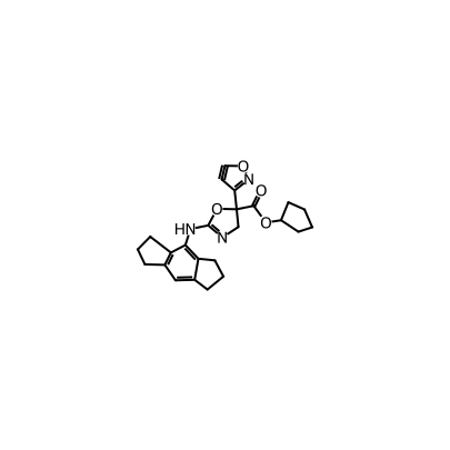 O=C(OC1CCCC1)C1(c2c#con2)CN=C(Nc2c3c(cc4c2CCC4)CCC3)O1